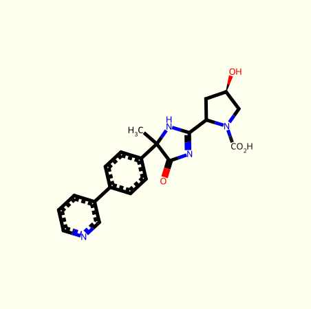 CC1(c2ccc(-c3cccnc3)cc2)NC(C2C[C@@H](O)CN2C(=O)O)=NC1=O